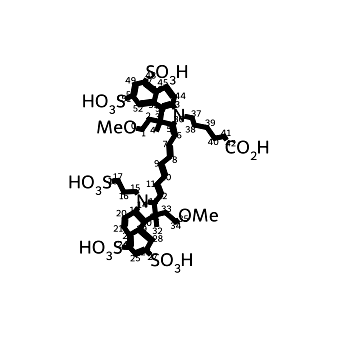 COCCC1(C)C(=CC=CC=CC=CC2N(CCCS(=O)(=O)O)c3ccc4c(S(=O)(=O)O)cc(S(=O)(=O)O)cc4c3C2(C)CCOC)N(CCCCCC(=O)O)c2ccc3c(S(=O)(=O)O)cc(S(=O)(=O)O)cc3c21